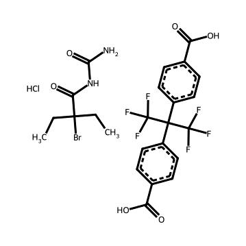 CCC(Br)(CC)C(=O)NC(N)=O.Cl.O=C(O)c1ccc(C(c2ccc(C(=O)O)cc2)(C(F)(F)F)C(F)(F)F)cc1